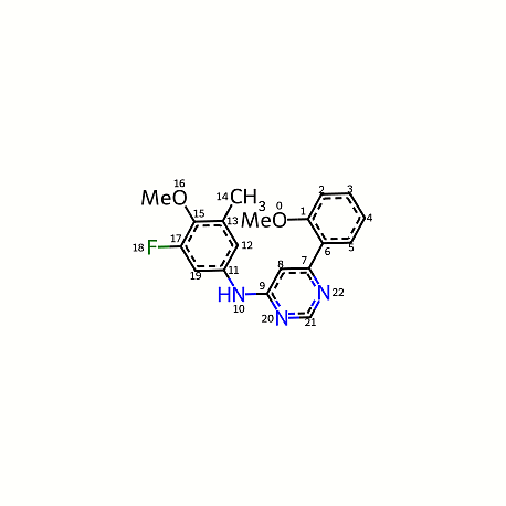 COc1ccccc1-c1cc(Nc2cc(C)c(OC)c(F)c2)ncn1